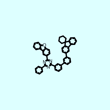 c1ccc(-c2nc(-c3cccc(-c4cccc(-c5ccc6c(c5)-c5ccccc5C65CCCCC5)c4)c3)nc(-c3ccc4oc5ccccc5c4c3)n2)cc1